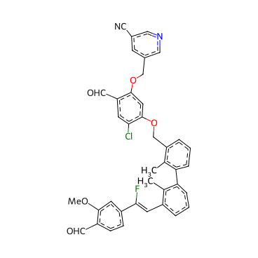 COc1cc(/C(F)=C/c2cccc(-c3cccc(COc4cc(OCc5cncc(C#N)c5)c(C=O)cc4Cl)c3C)c2C)ccc1C=O